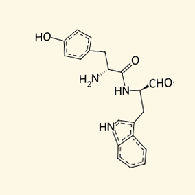 N[C@H](Cc1ccc(O)cc1)C(=O)N[C@@H]([C]=O)Cc1c[nH]c2ccccc12